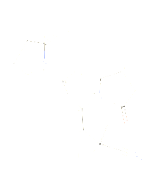 CC(C)(C#N)CC(CC(O)N1CCCC1=O)N1CCCC1=O